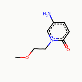 COCCn1cc(N)ccc1=O